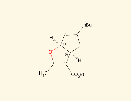 CCCCC1=C[C@@H]2OC(C)=C(C(=O)OCC)[C@@H]2C1